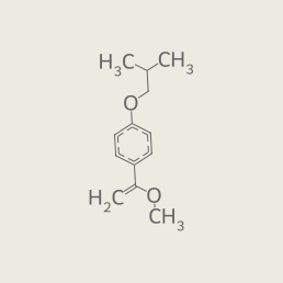 C=C(OC)c1ccc(OCC(C)C)cc1